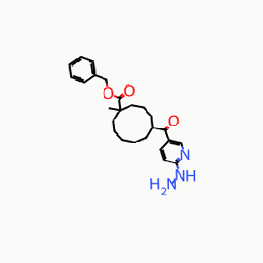 CC1(C(=O)OCc2ccccc2)CCCCCC(C(=O)c2ccc(NN)nc2)CCC1